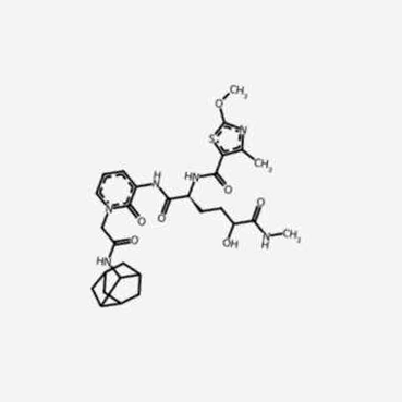 CNC(=O)C(O)CC[C@H](NC(=O)c1sc(OC)nc1C)C(=O)Nc1cccn(CC(=O)NC2C3CC4CC(C3)C2C4)c1=O